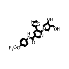 O=C(Nc1ccc(OC(F)(F)F)cc1)c1cnc(N2CC(O)C(CO)C2)c(-c2cncs2)c1